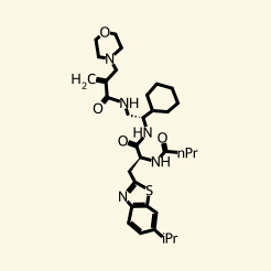 C=C(CN1CCOCC1)C(=O)NC[C@@H](NC(=O)[C@H](Cc1nc2ccc(C(C)C)cc2s1)NC(=O)CCC)C1CCCCC1